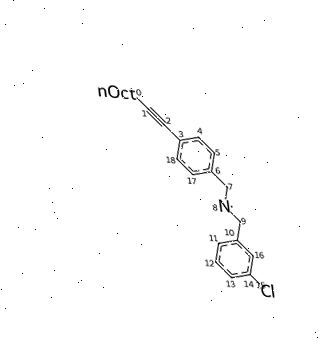 CCCCCCCCC#Cc1ccc(C[N]Cc2cccc(Cl)c2)cc1